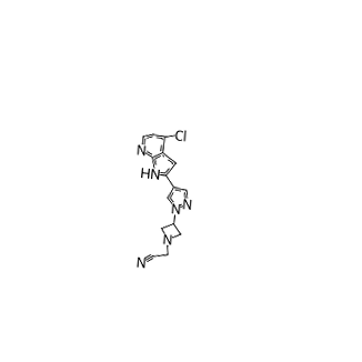 N#CCN1CC(n2cc(-c3cc4c(Cl)ccnc4[nH]3)cn2)C1